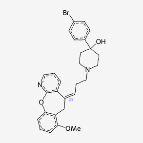 COc1cccc2c1C/C(=C/CCN1CCC(O)(c3ccc(Br)cc3)CC1)c1cccnc1O2